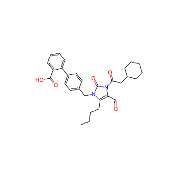 CCCCc1c(C=O)n(C(=O)CC2CCCCC2)c(=O)n1Cc1ccc(-c2ccccc2C(=O)O)cc1